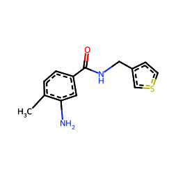 Cc1ccc(C(=O)NCc2ccsc2)cc1N